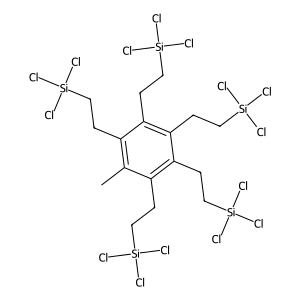 Cc1c(CC[Si](Cl)(Cl)Cl)c(CC[Si](Cl)(Cl)Cl)c(CC[Si](Cl)(Cl)Cl)c(CC[Si](Cl)(Cl)Cl)c1CC[Si](Cl)(Cl)Cl